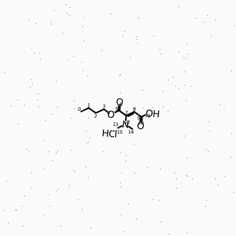 CCCCOC(=O)/C(=C/C(=O)O)N(C)C.Cl